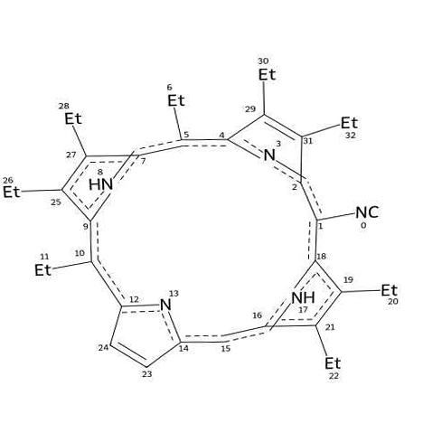 [C-]#[N+]c1c2nc(c(CC)c3[nH]c(c(CC)c4nc(cc5[nH]c1c(CC)c5CC)C=C4)c(CC)c3CC)C(CC)=C2CC